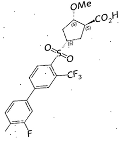 CO[C@H]1C[C@@H](S(=O)(=O)c2ccc(-c3ccc(F)c(F)c3)cc2C(F)(F)F)C[C@@H]1C(=O)O